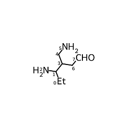 CCC(N)C(CN)CC=O